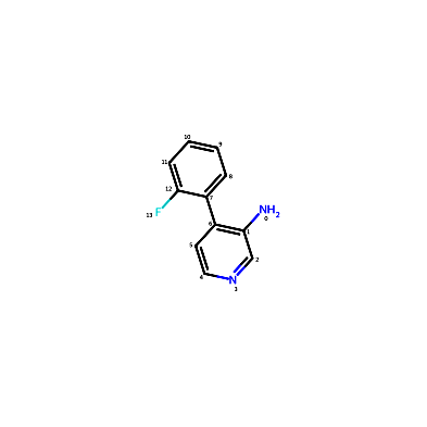 Nc1cnccc1-c1ccccc1F